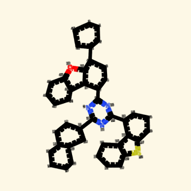 c1ccc(-c2ccc(-c3nc(-c4ccc5ccccc5c4)nc(-c4cccc5sc6ccccc6c45)n3)c3c2oc2ccccc23)cc1